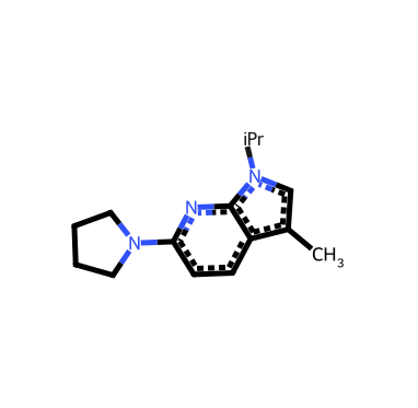 Cc1cn(C(C)C)c2nc(N3CCCC3)ccc12